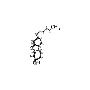 CCCC/C=C\c1ccc2c(c1)sc1cc(O)ccc12